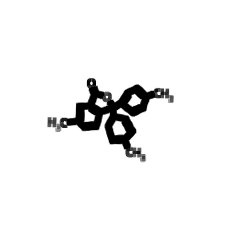 CC1=CCC(C2(c3ccc(C)cc3)OC(=O)c3cc(C)ccc32)C=C1